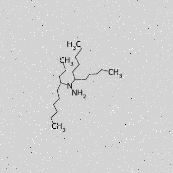 CCCCCCC(CCC)N(N)C(CCCCC)CCCCC